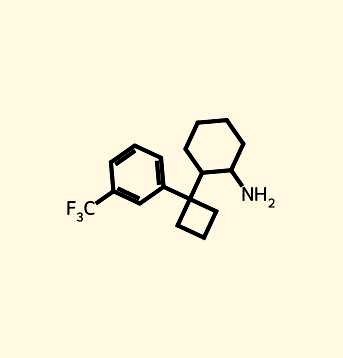 NC1CCCCC1C1(c2cccc(C(F)(F)F)c2)CCC1